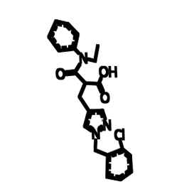 CCN(C(=O)C(Cc1cnn(Cc2ccccc2Cl)c1)C(=O)O)c1ccccc1